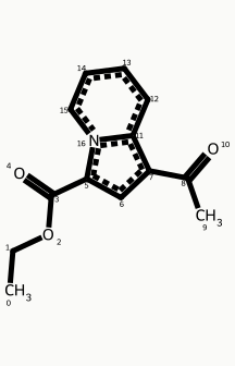 CCOC(=O)c1cc(C(C)=O)c2ccccn12